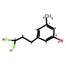 Cc1cc(Br)cc([CH]CC(F)F)c1